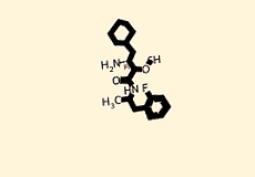 CC(Cc1ccccc1F)NC(=O)C(OS)[C@H](N)CC1CCCCC1